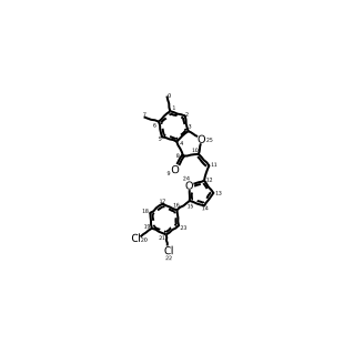 Cc1cc2c(cc1C)C(=O)C(=Cc1ccc(-c3ccc(Cl)c(Cl)c3)o1)O2